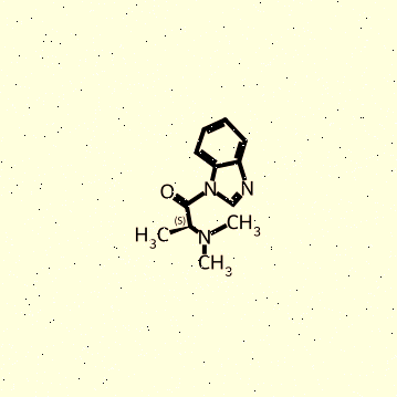 C[C@@H](C(=O)n1cnc2ccccc21)N(C)C